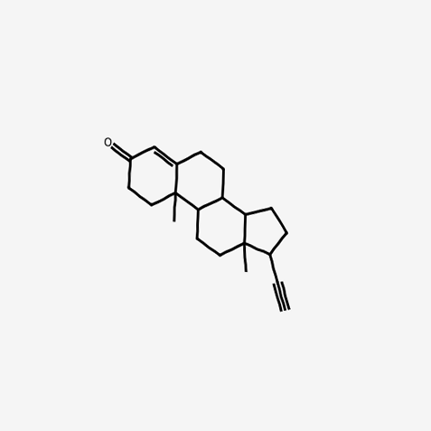 C#CC1CCC2C3CCC4=CC(=O)CCC4(C)C3CCC12C